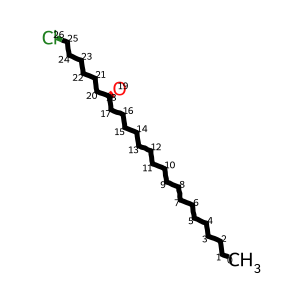 CCCCCCCCCCCCCCCCCCC(=O)CCCCCCCl